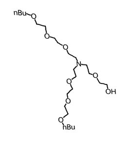 CCCCOCCOCCOCCN(CCOCCO)CCOCCOCCOCCCC